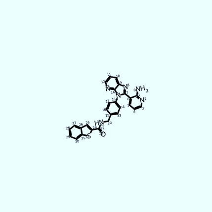 Nc1ncccc1-c1nc2cccnc2n1-c1ccc(CNC(=O)c2cc3ccccc3s2)cc1